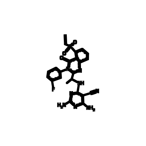 C=CS(=O)(=O)c1cccc2nc(C(C)Nc3nc(N)nc(N)c3C#N)n(-c3cccc(F)c3)c(=O)c12